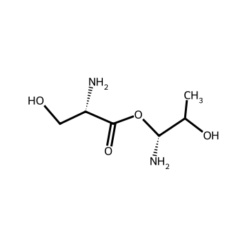 CC(O)[C@H](N)OC(=O)[C@@H](N)CO